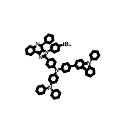 CC(C)(C)c1ccc(-n2c(-c3ccc(N(c4ccc(-c5ccc6c(c5)c5ccccc5n6-c5ccccc5)cc4)c4ccc(N(c5ccccc5)c5ccccc5)cc4)cc3)nc3c4ccccc4nc(-c4ccccc4)c32)cc1